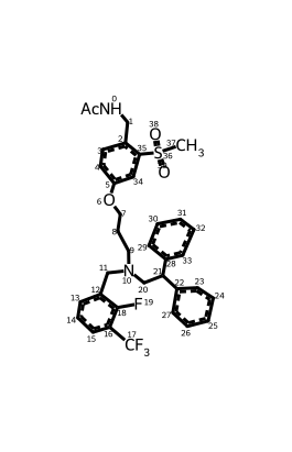 CC(=O)NCc1ccc(OCCCN(Cc2cccc(C(F)(F)F)c2F)CC(c2ccccc2)c2ccccc2)cc1S(C)(=O)=O